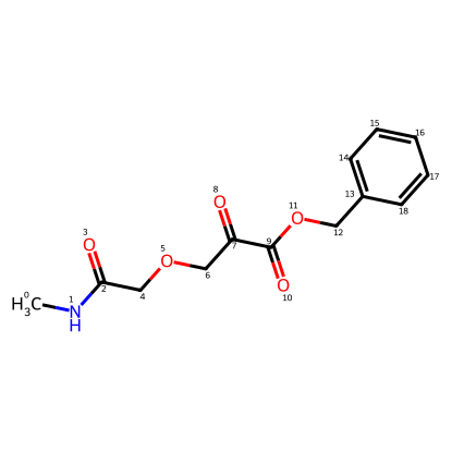 CNC(=O)COCC(=O)C(=O)OCc1ccccc1